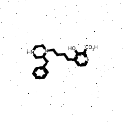 O=C(O)c1nccc(CCCCN2CCNCC2Cc2ccccc2)c1O